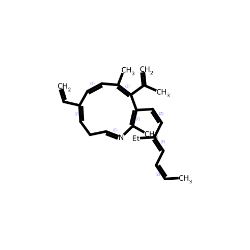 C=CC1=C/C/C=N/C(C)=C(/C=C\C(=C\C=C/C)CC)C(\C(=C)C)=C(C)/C=C\1